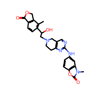 Cc1c(C(O)CN2CCc3nc(Nc4ccc5oc(=O)n(C)c5c4)ncc3C2)ccc2c1COC2=O